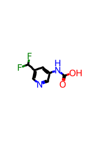 O=C(O)Nc1cncc(C(F)F)c1